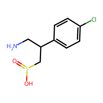 NCC(CS(=O)O)c1ccc(Cl)cc1